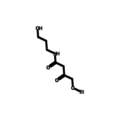 CCOCC(=O)CC(=O)NCCCO